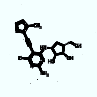 Cc1ccsc1C#Cc1c(Cl)nc(N)nc1N[C@@H]1C[C@H](CO)[C@@H](O)[C@H]1O